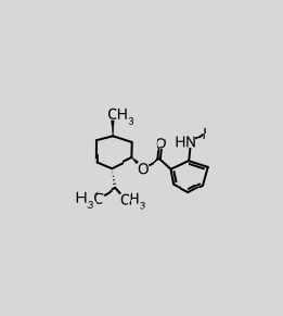 CC(C)[C@@H]1CC[C@@H](C)C[C@H]1OC(=O)c1ccccc1NI